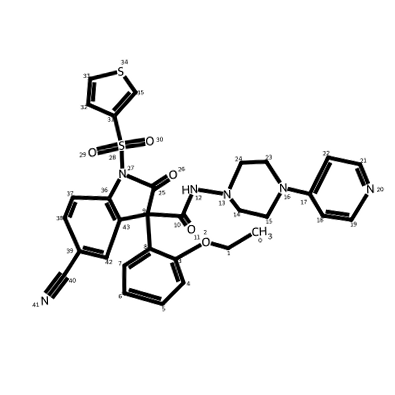 CCOc1ccccc1C1(C(=O)NN2CCN(c3ccncc3)CC2)C(=O)N(S(=O)(=O)c2ccsc2)c2ccc(C#N)cc21